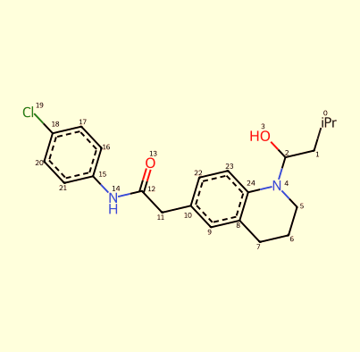 CC(C)CC(O)N1CCCc2cc(CC(=O)Nc3ccc(Cl)cc3)ccc21